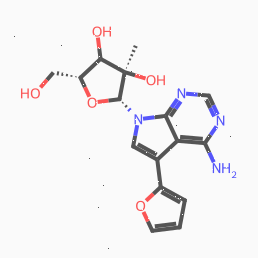 C[C@@]1(O)C(O)[C@@H](CO)O[C@H]1n1cc(-c2ccco2)c2c(N)ncnc21